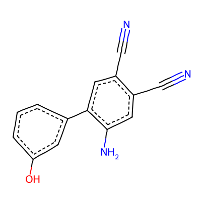 N#Cc1cc(N)c(-c2cccc(O)c2)cc1C#N